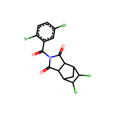 O=C(c1cc(Br)ccc1Br)N1C(=O)C2C3CC(C(Br)C3Br)C2C1=O